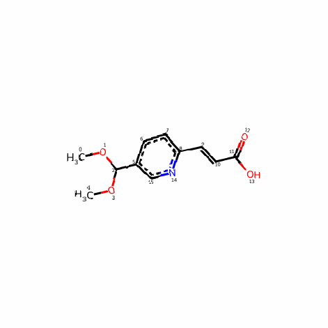 COC(OC)c1ccc(C=CC(=O)O)nc1